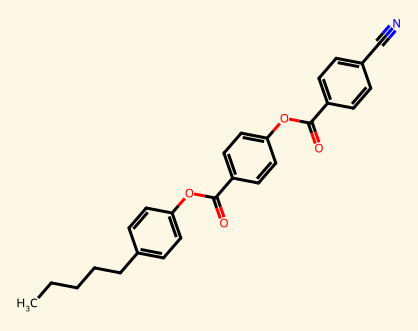 CCCCCc1ccc(OC(=O)c2ccc(OC(=O)c3ccc(C#N)cc3)cc2)cc1